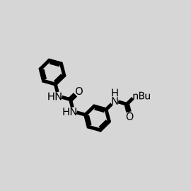 CCCCC(=O)Nc1cccc(NC(=O)Nc2ccccc2)c1